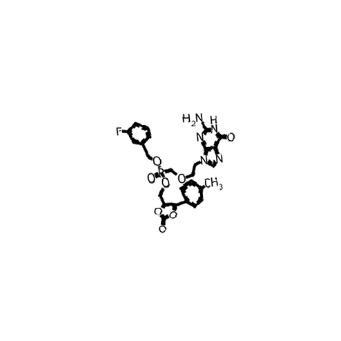 Cc1ccc(-c2oc(=O)oc2COP(=O)(COCCn2cnc3c(=O)[nH]c(N)nc32)OCc2cccc(F)c2)cc1